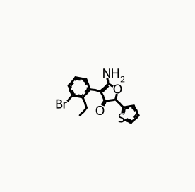 CCc1c(Br)cccc1C1=C(N)OC(c2cccs2)C1=O